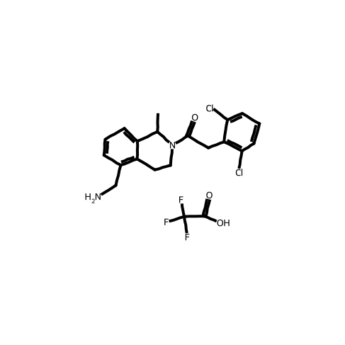 CC1c2cccc(CN)c2CCN1C(=O)Cc1c(Cl)cccc1Cl.O=C(O)C(F)(F)F